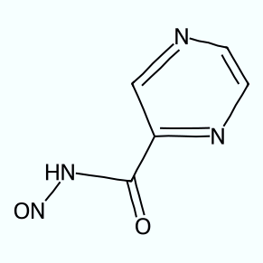 O=NNC(=O)c1cnccn1